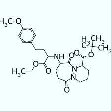 CCOC(=O)C(CCc1ccc(OC)cc1)NC1CCC(=O)N2CCCC(C(=O)OC(C)(C)C)N2C1=O